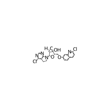 C[C@]1(O)C[C@H](N2CCc3c(Cl)ncnc32)O[C@@H]1COc1ccc2ccc(Cl)nc2c1